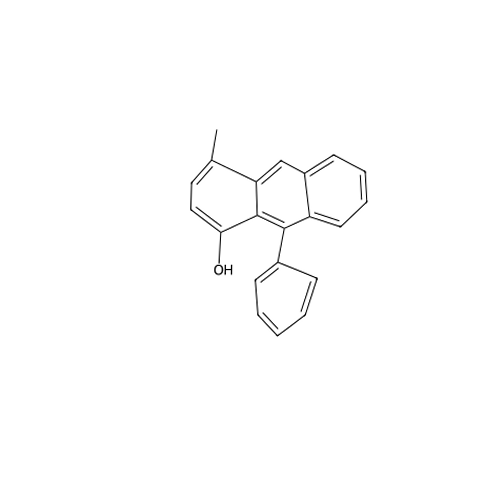 Cc1ccc(O)c2c(-c3ccccc3)c3ccccc3cc12